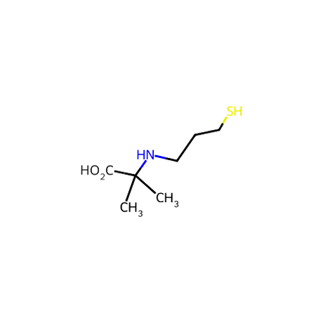 CC(C)(NCCCS)C(=O)O